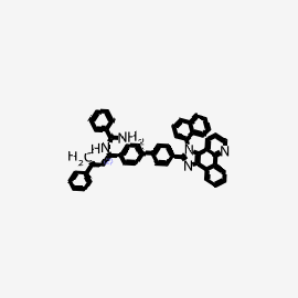 C=C(/C=C(\NC(N)c1ccccc1)c1ccc(-c2ccc(-c3nc4c5ccccc5c5ncccc5c4n3-c3cccc4ccccc34)cc2)cc1)c1ccccc1